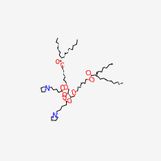 CCCCCCCCC(CCCCCC)C(=O)OCCCCCCOCC(OC(=O)CCCCN1CCCC1)C(COCCCCCCOC(=O)C(CCCCCC)CCCCCCCC)OC(=O)CCCCN1CCCC1